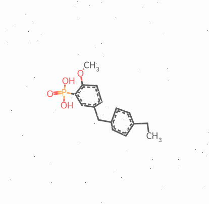 CCc1ccc(Cc2ccc(OC)c(P(=O)(O)O)c2)cc1